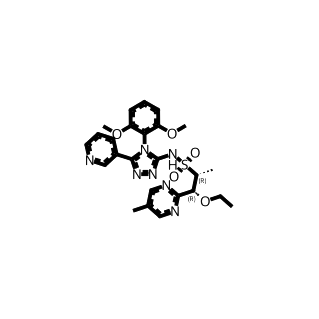 CCO[C@H](c1ncc(C)cn1)[C@@H](C)S(=O)(=O)Nc1nnc(-c2cccnc2)n1-c1c(OC)cccc1OC